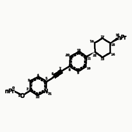 CCCOc1ccc(C#Cc2ccc([C@H]3CC[C@H](CCC)CC3)cc2)nc1